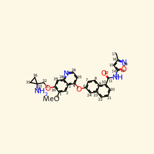 COc1cc2c(Oc3ccc4c(C(=O)Nc5cc(C)no5)cccc4c3)ccnc2cc1OCC1(N)CC1